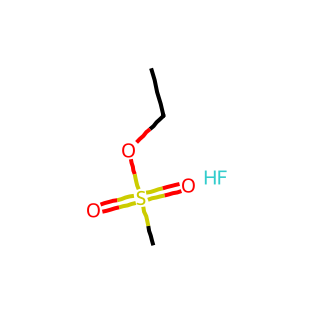 CCOS(C)(=O)=O.F